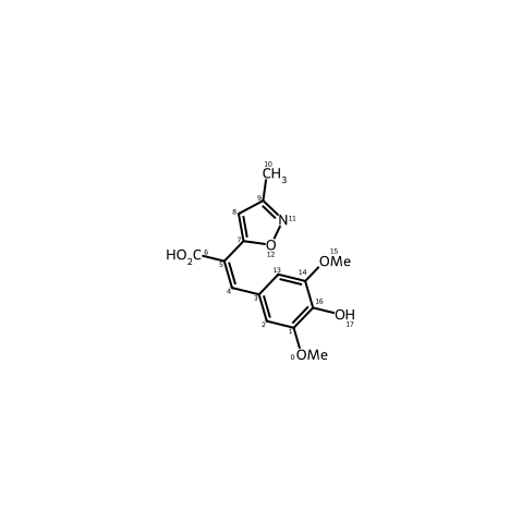 COc1cc(C=C(C(=O)O)c2cc(C)no2)cc(OC)c1O